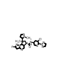 Cn1nccc1[C@]1(C)C[C@@H](C(=O)Nc2cnc(-n3nccn3)c(Cl)c2)c2cnc3cc(F)nn3c21